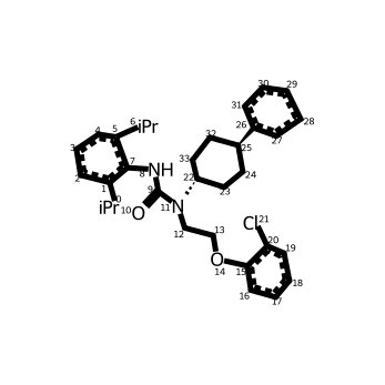 CC(C)c1cccc(C(C)C)c1NC(=O)N(CCOc1ccccc1Cl)[C@H]1CC[C@H](c2ccccc2)CC1